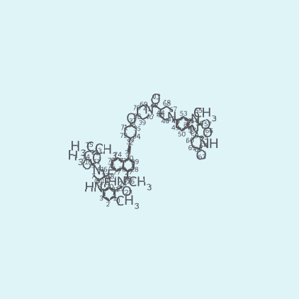 Cc1ccc(N[C@H]2CN(C(=O)OC(C)(C)C)CC2(F)F)cc1C(=O)N[C@H](C)c1ccc(C#CC2CCC(OC3CCN(C(=O)C4CCN(c5ccc6c(c5)n(C)c(=O)n6C5CCC(=O)NC5=O)CC4)CC3)CC2)c2ccccc12